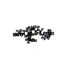 CC[Si](CC)(CC)OC(C)(C)/C=C\CSC(C)C1=CC[C@H]2C3=CC=C4C[C@@H](O[Si](C)(C)C(C)(C)C)C[C@H](O[Si](C)(C)C(C)(C)C)[C@]4(C)[C@H]3CC[C@]12C